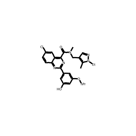 CCCOc1cc(O)cc(-c2nc(C(=O)N(C)Cc3cnn(CC)c3C)c3cc(Cl)ccc3n2)c1